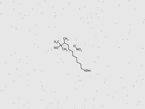 CCCCCCCCCCCCCCCCCCC(C)[N+](C)(C)O.O=[N+]([O-])[O-]